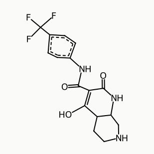 O=C(Nc1ccc(C(F)(F)F)cc1)C1=C(O)C2CCNCC2NC1=O